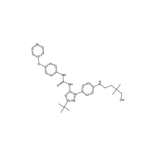 CC(C)(CO)CCNc1ccc(-n2nc(C(C)(C)C)cc2NC(=O)Nc2ccc(Oc3ccncc3)cc2)cc1